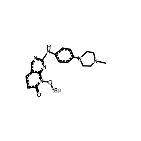 CN1CCN(c2ccc(Nc3ncc4ccc(=O)n(OC(C)(C)C)c4n3)cc2)CC1